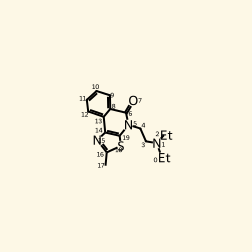 CCN(CC)CCn1c(=O)c2ccccc2c2nc(C)sc21